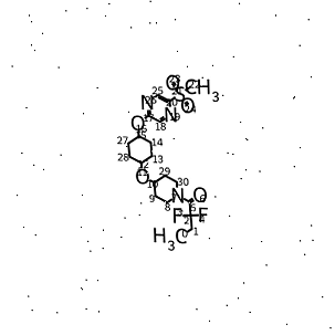 CCC(F)(F)C(=O)N1CCC(OC2CCC(Oc3cnc(S(C)(=O)=O)cn3)CC2)CC1